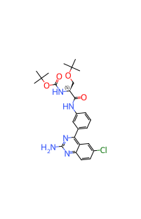 CC(C)(C)OC[C@H](NC(=O)OC(C)(C)C)C(=O)Nc1cccc(-c2nc(N)nc3ccc(Cl)cc23)c1